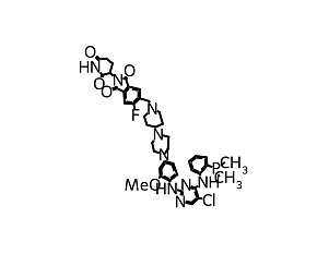 COc1cc(N2CCN(C3CCN(Cc4cc5c(cc4F)C(=O)N(C4CCC(=O)NC4=O)C5=O)CC3)CC2)ccc1Nc1ncc(Cl)c(Nc2ccccc2P(C)C)n1